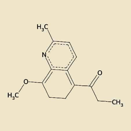 CCC(=O)C1=c2ccc(C)nc2=C(OC)CC1